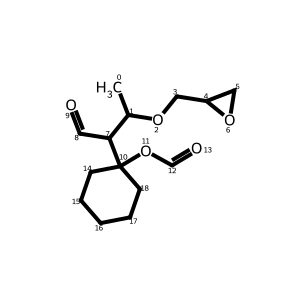 CC(OCC1CO1)C(C=O)C1(OC=O)CCCCC1